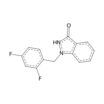 O=c1[nH]n(Cc2ccc(F)cc2F)c2ccccc12